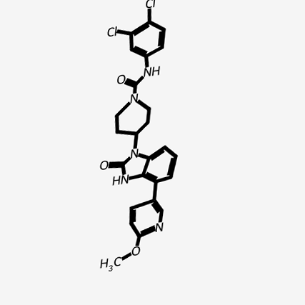 COc1ccc(-c2cccc3c2[nH]c(=O)n3C2CCN(C(=O)Nc3ccc(Cl)c(Cl)c3)CC2)cn1